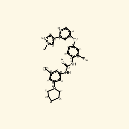 Cn1cc(-c2cc(Oc3ccc(NC(=O)Nc4cc(Cl)cc(N5CCCCC5)c4)c(F)c3)ccn2)cn1